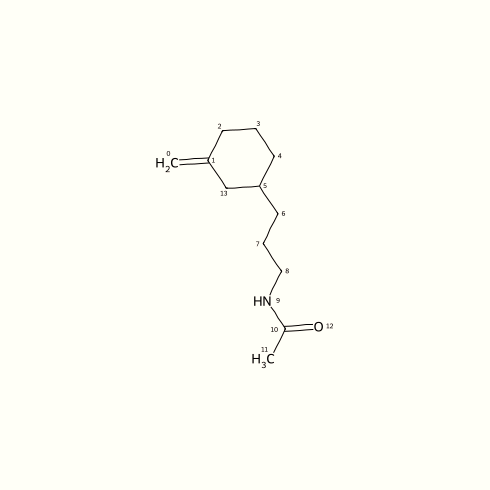 C=C1CCCC(CCCNC(C)=O)C1